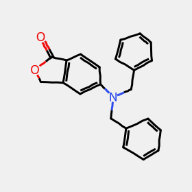 O=C1OCc2cc(N(Cc3ccccc3)Cc3ccccc3)ccc21